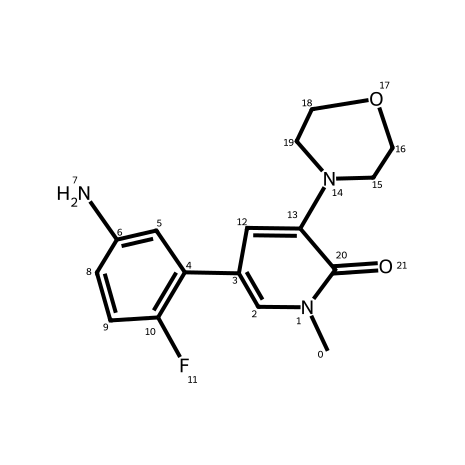 Cn1cc(-c2cc(N)ccc2F)cc(N2CCOCC2)c1=O